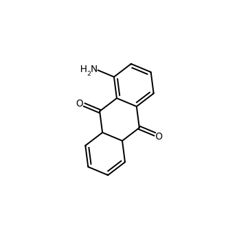 Nc1cccc2c1C(=O)C1C=CC=CC1C2=O